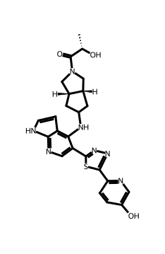 C[C@H](O)C(=O)N1C[C@H]2CC(Nc3c(-c4nnc(-c5ccc(O)cn5)s4)cnc4[nH]ccc34)C[C@H]2C1